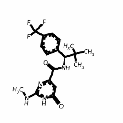 CNc1nc(C(=O)N[C@@H](c2ccc(C(F)(F)F)cc2)C(C)(C)C)cc(=O)[nH]1